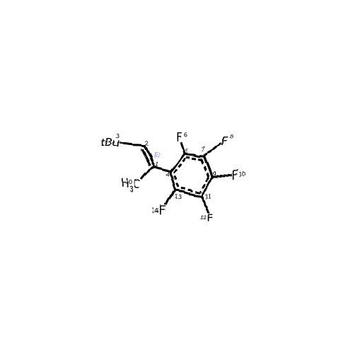 C/C(=C\C(C)(C)C)c1c(F)c(F)c(F)c(F)c1F